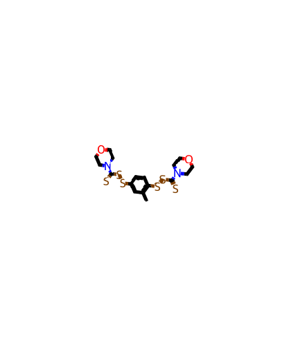 Cc1cc(SSC(=S)N2CCOCC2)ccc1SSC(=S)N1CCOCC1